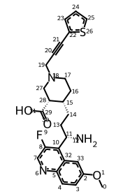 COc1ccc2ncc(F)c([C@@H](N)CC[C@H]3CCN(CC#Cc4cccs4)C[C@H]3C(=O)O)c2c1